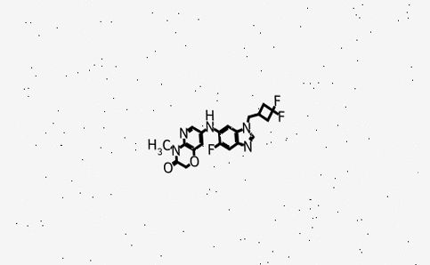 CN1C(=O)COc2cc(Nc3cc4c(cc3F)ncn4CC3CC(F)(F)C3)cnc21